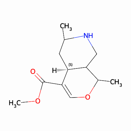 COC(=O)C1=COC(C)C2CNC(C)C[C@H]12